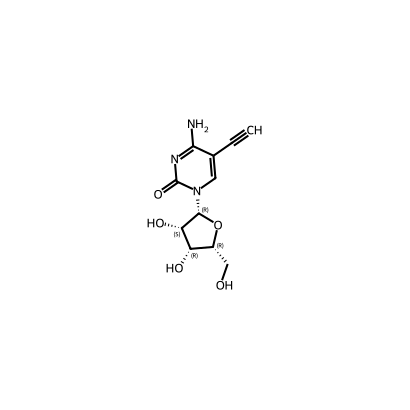 C#Cc1cn([C@@H]2O[C@H](CO)[C@H](O)[C@@H]2O)c(=O)nc1N